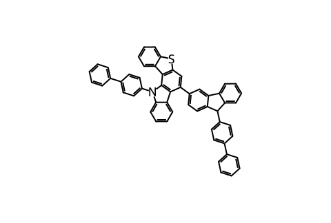 c1ccc(-c2ccc(C3c4ccccc4-c4cc(-c5cc6sc7ccccc7c6c6c5c5ccccc5n6-c5ccc(-c6ccccc6)cc5)ccc43)cc2)cc1